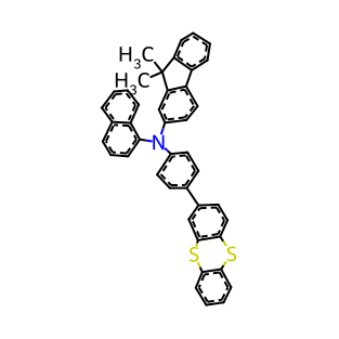 CC1(C)c2ccccc2-c2ccc(N(c3ccc(-c4ccc5c(c4)Sc4ccccc4S5)cc3)c3cccc4ccccc34)cc21